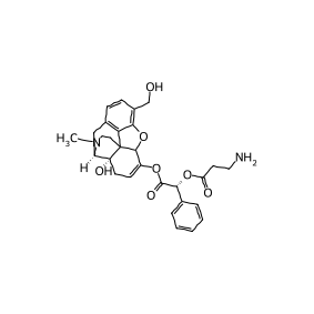 CN1CCC23c4c5ccc(CO)c4OC2C(OC(=O)[C@H](OC(=O)CCN)c2ccccc2)=CC[C@@]3(O)[C@H]1C5